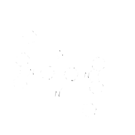 Cc1ccc(-c2ccc3c4ccccc4n(-c4ccc(-c5ccc(-n6c7ccccc7c7ccc(-c8ccc(C)cc8C)cc76)cc5C#N)c(C#N)c4)c3c2)c(C)c1